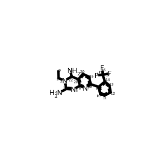 CCN1C(N)=Nc2nc(-c3ccccc3C(F)(F)F)ccc2C1N